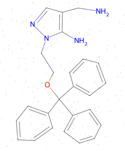 NCc1cnn(CCOC(c2ccccc2)(c2ccccc2)c2ccccc2)c1N